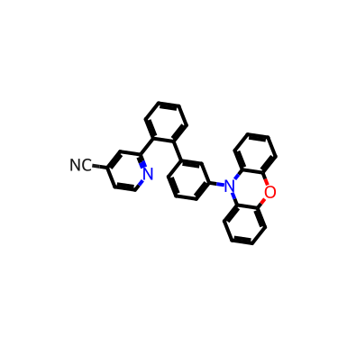 N#Cc1ccnc(-c2ccccc2-c2cccc(N3c4ccccc4Oc4ccccc43)c2)c1